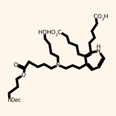 CCCCCCCCCCCCCOC(=O)CCCCN(CCCCO)CCCC1=CC=CNC(CCCCC(=O)O)=C1CCCCC(=O)O